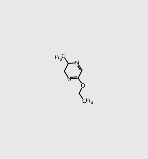 CCOC1=NCC(C)N=C1